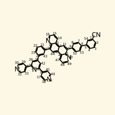 N#Cc1cccc(-c2ccc(-c3cc4c5cccnc5c(-c5cccc(-c6cc(-c7ccncc7)nc(-c7ccncc7)c6)c5)cc4c4cccnc34)cc2)c1